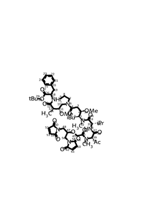 CC[C@H](C)[C@@H]([C@@H](CC(=O)N1CCC[C@H]1[C@H](OC)[C@@H](C)C(=O)NC(Cc1ccccc1)C(=O)OC(C)(C)C)OC)N(C)C(=O)[C@@H](NC(=O)[C@H](C(C)=O)N(C)C(=O)COC(CN1C(=O)C=CC1=O)CN1C(=O)C=CC1=O)C(C)C